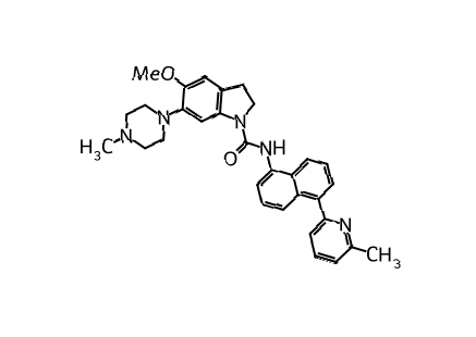 COc1cc2c(cc1N1CCN(C)CC1)N(C(=O)Nc1cccc3c(-c4cccc(C)n4)cccc13)CC2